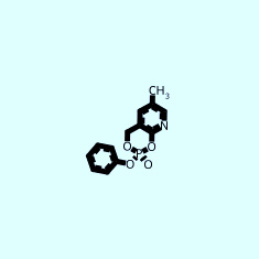 Cc1cnc2c(c1)COP(=O)(Oc1ccccc1)O2